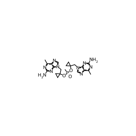 Cc1nc(N)nc2c1ncn2CC1(OP(C)(=O)OC2(Cn3cnc4c(C)nc(N)nc43)CC2)CC1